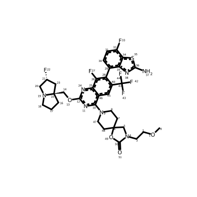 COCCN1CC2(CCN(c3nc(OC[C@@]45CCCN4C[C@H](F)C5)nc4c(F)c(-c5ccc(F)c6sc(N)nc56)c(C(F)(F)F)cc34)CC2)OC1=O